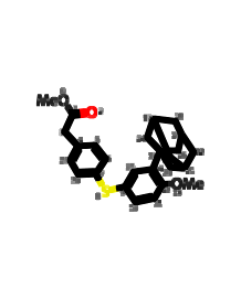 COC(=O)Cc1ccc(Sc2ccc(OC)c(C34CC5CC(CC(C5)C3)C4)c2)cc1